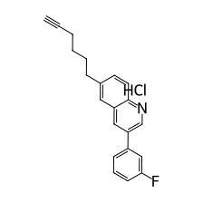 C#CCCCCc1ccc2ncc(-c3cccc(F)c3)cc2c1.Cl